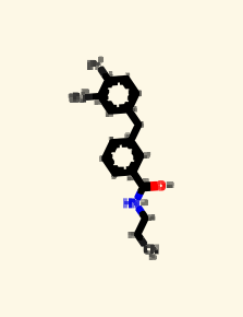 CC(C)c1ccc(Cc2cccc(C(=O)NCCC#N)c2)cc1C(C)(C)C